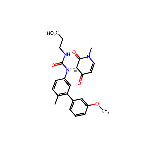 Cc1ccc(N(C(=O)NCCC(=O)O)[C@H]2C(=O)C=CN(C)C2=O)cc1-c1cccc(OC(F)(F)F)c1